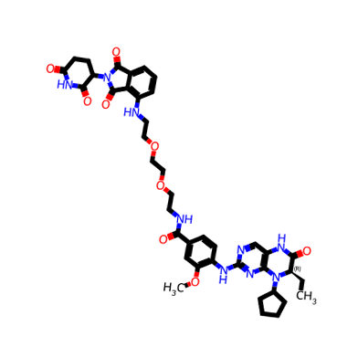 CC[C@@H]1C(=O)Nc2cnc(Nc3ccc(C(=O)NCCOCCOCCNc4cccc5c4C(=O)N(C4CCC(=O)NC4=O)C5=O)cc3OC)nc2N1C1CCCC1